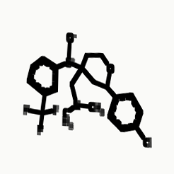 CN(C)CC1([S+]([O-])c2cccc(C(F)(F)F)c2)CCOC(c2ccc(Cl)cc2)C1